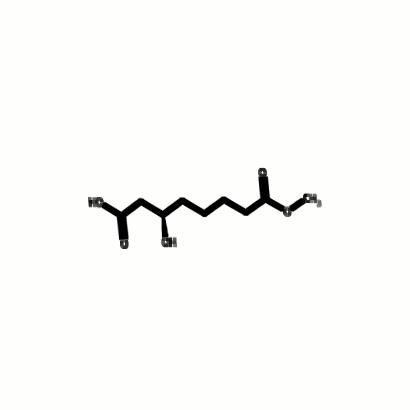 COC(=O)CCCC[C@@H](O)CC(=O)O